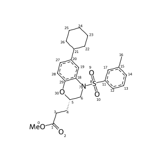 COC(=O)CC[C@H]1CN(S(=O)(=O)c2cccc(C)c2)c2cc(C3CCCCC3)ccc2O1